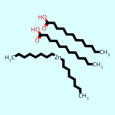 CCCCCCCCCCCC(=O)O.CCCCCCCCCCCC(=O)O.CCCCCCC[CH2][Zn][CH2]CCCCCCC